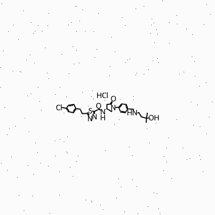 CC(C)(O)CCNCc1ccc(N2C[C@H](NC(=O)c3nnc(CCc4ccc(Cl)cc4)s3)CC2=O)cc1.Cl